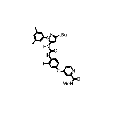 CNC(=O)c1cc(Oc2ccc(NC(=O)Nc3cc(C(C)(C)C)nn3-c3cc(C)cc(C)c3)c(F)c2)ccn1